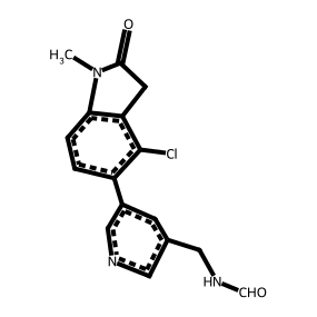 CN1C(=O)Cc2c1ccc(-c1cncc(CNC=O)c1)c2Cl